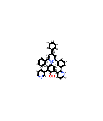 Oc1c(-c2cccnc2)cc(-[n+]2c(-c3ccccc3)cc(-c3ccccc3)cc2-c2ccccc2)cc1-c1cccnc1